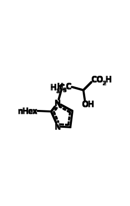 CC(O)C(=O)O.CCCCCCc1nccn1C